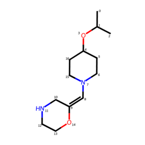 CC(C)OC1CCN(C=C2CNCCO2)CC1